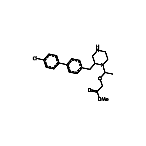 COC(=O)COC(C)N1CCNCC1Cc1ccc(-c2ccc(Cl)cc2)cc1